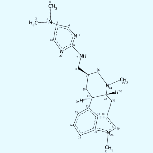 CN(C)c1cnc(NC[C@@H]2C[C@@H]3c4cccc5c4c(cn5C)C[C@H]3N(C)C2)nc1